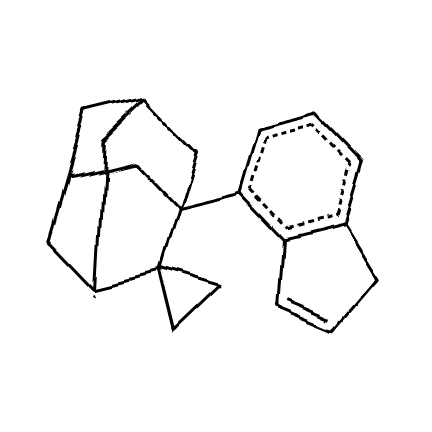 C1=Cc2c(cccc2C23CC4C[C](CC(C4)C2)C32CC2)C1